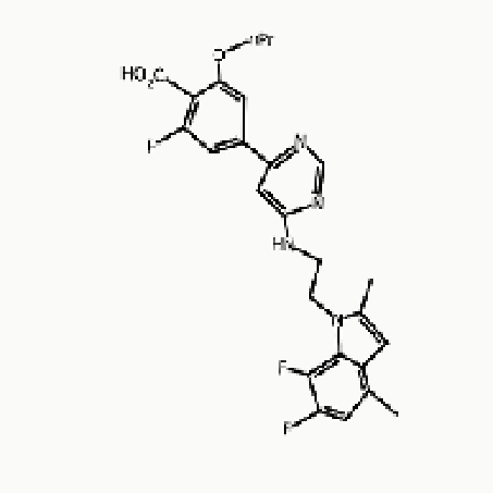 CCCOc1cc(-c2cc(NCCn3c(C)cc4c(C)cc(F)c(F)c43)ncn2)cc(F)c1C(=O)O